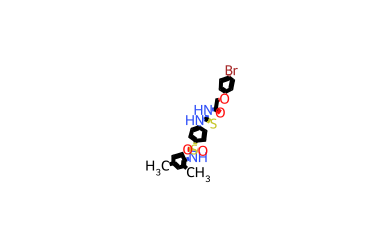 Cc1ccc(NS(=O)(=O)c2ccc(NC(=S)NC(=O)COc3ccc(Br)cc3)cc2)c(C)c1